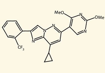 COc1ncc(-c2cc(C3CC3)c3nc(-c4ccccc4C(F)(F)F)cn3n2)c(OC)n1